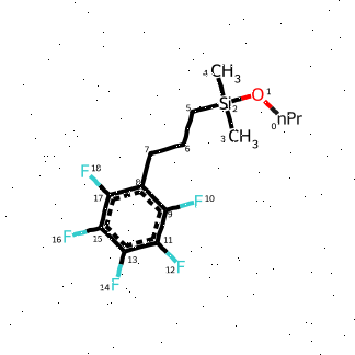 CCCO[Si](C)(C)CCCc1c(F)c(F)c(F)c(F)c1F